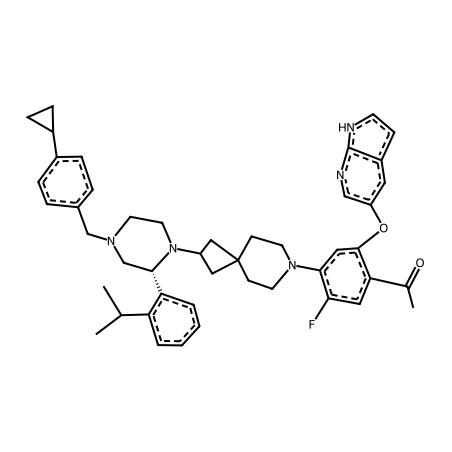 CC(=O)c1cc(F)c(N2CCC3(CC2)CC(N2CCN(Cc4ccc(C5CC5)cc4)C[C@H]2c2ccccc2C(C)C)C3)cc1Oc1cnc2[nH]ccc2c1